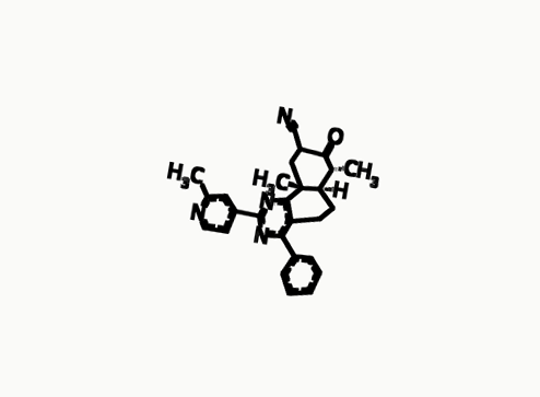 Cc1cc(-c2nc(-c3ccccc3)c3c(n2)[C@]2(C)CC(C#N)C(=O)[C@H](C)[C@H]2CC3)ccn1